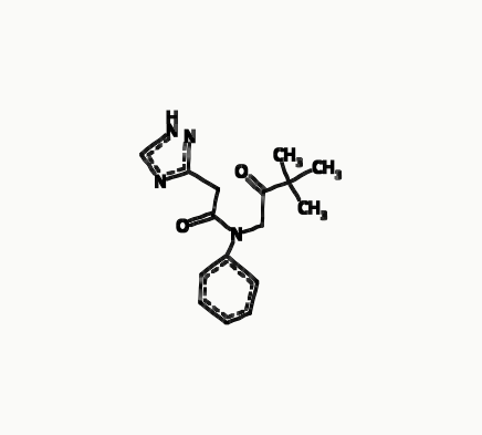 CC(C)(C)C(=O)CN(C(=O)Cc1nc[nH]n1)c1ccccc1